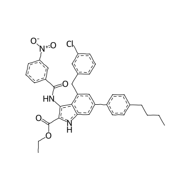 CCCCc1ccc(-c2cc(Cc3cccc(Cl)c3)c3c(NC(=O)c4cccc([N+](=O)[O-])c4)c(C(=O)OCC)[nH]c3c2)cc1